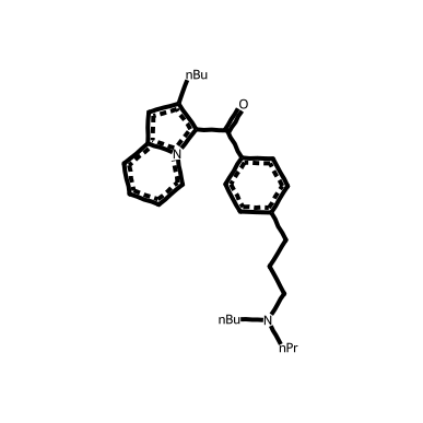 CCCCc1cc2ccccn2c1C(=O)c1ccc(CCCN(CCC)CCCC)cc1